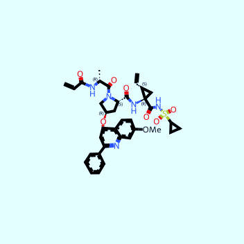 C=CC(=O)N[C@H](C)C(=O)N1C[C@H](Oc2cc(-c3ccccc3)nc3cc(OC)ccc23)C[C@H]1C(=O)N[C@]1(C(=O)NS(=O)(=O)C2CC2)C[C@H]1C=C